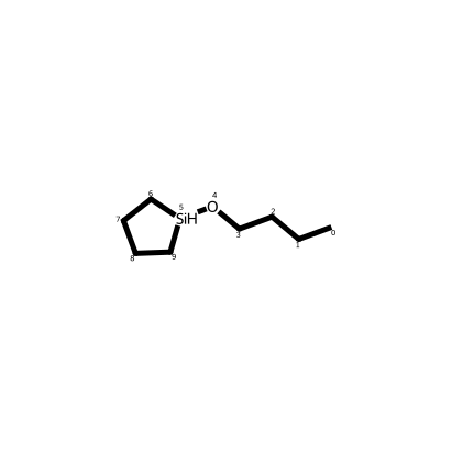 CCCCO[SiH]1CCCC1